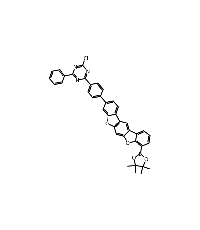 CC1(C)OB(c2cccc3c2oc2cc4oc5cc(-c6ccc(-c7nc(Cl)nc(-c8ccccc8)n7)cc6)ccc5c4cc23)OC1(C)C